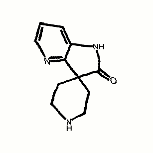 O=C1Nc2cccnc2C12CCNCC2